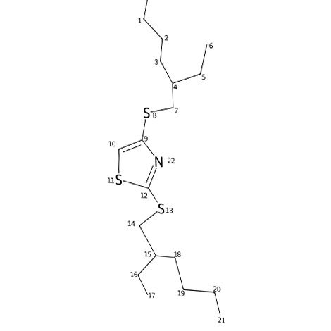 CCCCC(CC)CSc1csc(SCC(CC)CCCC)n1